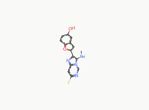 CNc1c(-c2cc3cc(O)ccc3o2)nc2cc(F)ncn12